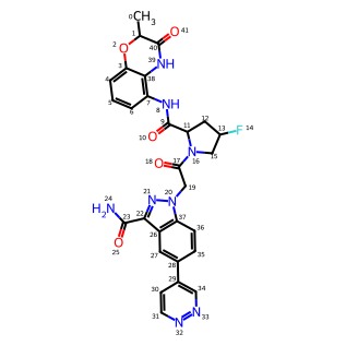 CC1Oc2cccc(NC(=O)C3CC(F)CN3C(=O)Cn3nc(C(N)=O)c4cc(-c5ccnnc5)ccc43)c2NC1=O